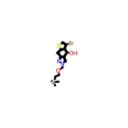 C[Si](C)(C)CCOCn1cc2c(O)c3c(Br)csc3cc2n1